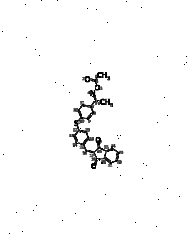 CC(=O)O/N=C(\C)c1ccc(Sc2ccc(C=C3C(=O)c4ccccc4C3=O)cc2)cc1